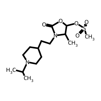 CC(C)N1CCC(CCN2C(=O)OC(OS(C)(=O)=O)C2C)CC1